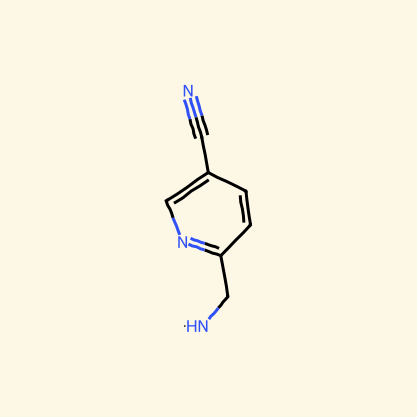 N#Cc1ccc(C[NH])nc1